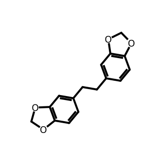 c1cc2c(cc1CCc1ccc3c(c1)OCO3)OCO2